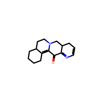 O=C1C2=NC=CCC2CN2CCC3CCCCC3=C12